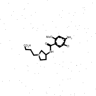 COc1cc(N)c(Cl)cc1C(=O)NC1CCN(CCCC(=O)O)C1